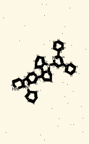 C1=Cc2c(n(-c3ccccc3)c3cc(-c4cccc5c4c4ccccc4n5-c4cc(-c5ccccc5)cc(-c5ccccc5)n4)ccc23)NC1